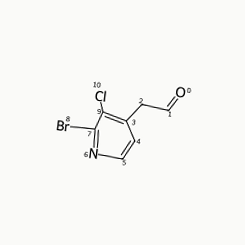 O=CCc1ccnc(Br)c1Cl